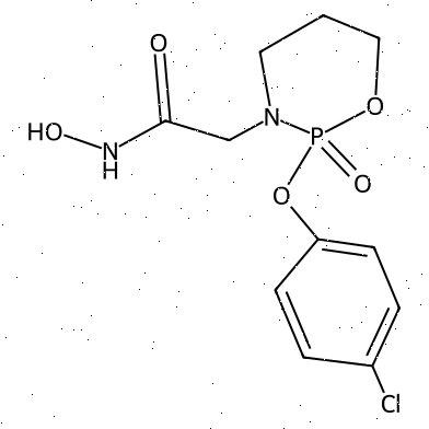 O=C(CN1CCCOP1(=O)Oc1ccc(Cl)cc1)NO